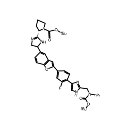 CCCN(Cc1nc(-c2ccc(-c3cc4cc(C5CN=C([C@@H]6CCCN6C(=O)OC(C)(C)C)N5)ccc4o3)cc2F)c[nH]1)C(=O)OC(C)(C)C